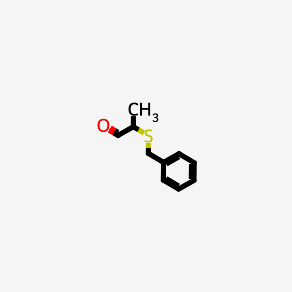 CC(C=O)SCc1ccccc1